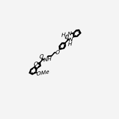 COc1cccc2oc(C(=O)NCCCOc3ccc(C(=O)Nc4ccccc4N)cc3)cc12